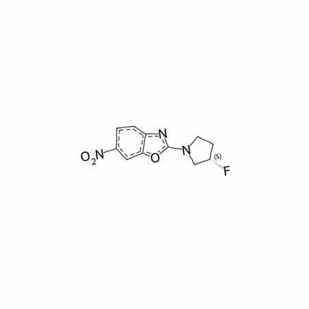 O=[N+]([O-])c1ccc2nc(N3CC[C@H](F)C3)oc2c1